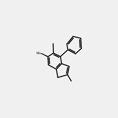 CC1=Cc2c(cc(C(C)(C)C)c(C)c2-c2ccccc2)[CH]1